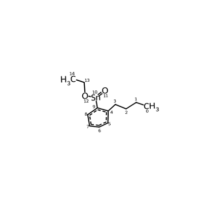 CCCCc1cccc[c]1[Sn](=[O])[O]CC